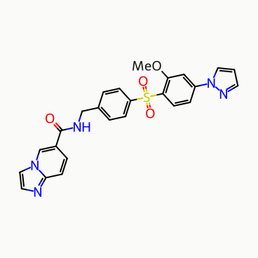 COc1cc(-n2cccn2)ccc1S(=O)(=O)c1ccc(CNC(=O)c2ccc3nccn3c2)cc1